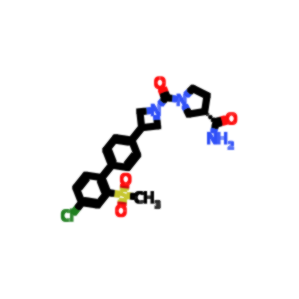 CS(=O)(=O)c1cc(Cl)ccc1-c1ccc(C2CN(C(=O)N3CC[C@H](C(N)=O)C3)C2)cc1